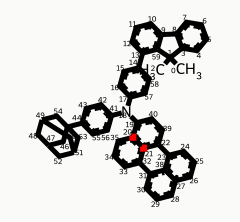 CC1(C)c2ccccc2-c2cccc(-c3ccc(N(c4ccc(-c5cccc6cccc(-c7ccccc7)c56)cc4)c4ccc(C56CC7CC(CC(C7)C5)C6)cc4)cc3)c21